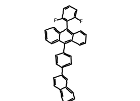 Fc1cccc(F)c1-c1c2ccccc2c(-c2ccc(-c3ccc4ccccc4c3)cc2)c2ccccc12